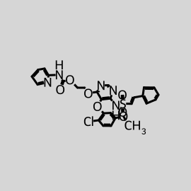 COc1ccc(Cl)c(Oc2c(NS(=O)(=O)C=Cc3ccccc3)ncnc2OCCOC(=O)Nc2ccccn2)c1